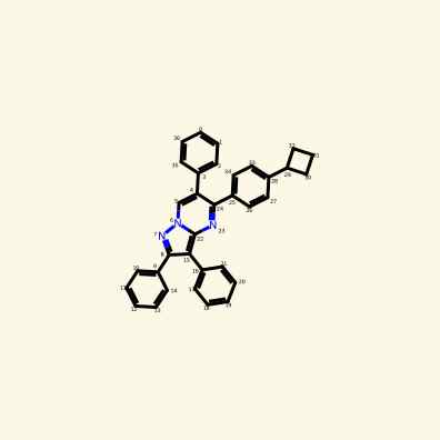 c1ccc(-c2cn3nc(-c4ccccc4)c(-c4ccccc4)c3nc2-c2ccc(C3CCC3)cc2)cc1